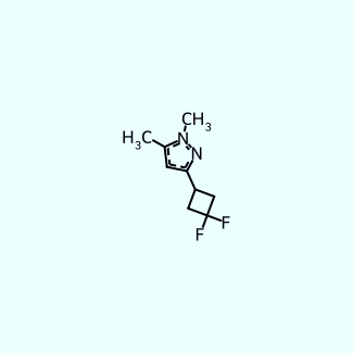 Cc1cc(C2CC(F)(F)C2)nn1C